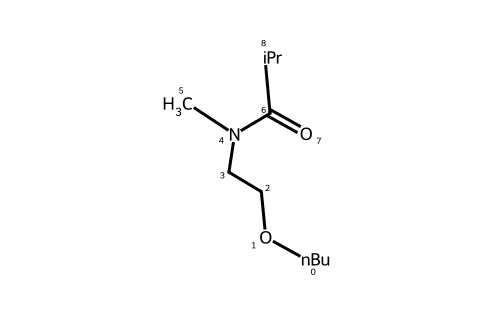 CCCCOCCN(C)C(=O)C(C)C